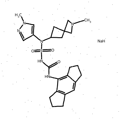 CN1CC2(CC(N(c3cnn(C)c3)S(=O)(=O)NC(=O)Nc3c4c(cc5c3CCC5)CCC4)C2)C1.[NaH]